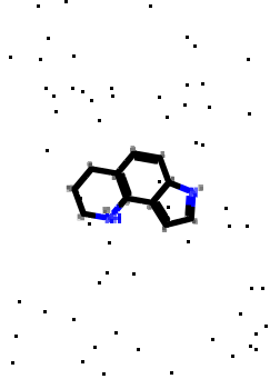 C1=CC2N=CC=C2C2=C1CCCN2